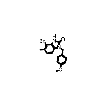 COc1ccc(Cn2c(=O)[nH]c3c(Br)c(C)ccc32)cc1